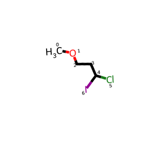 COCCC(Cl)I